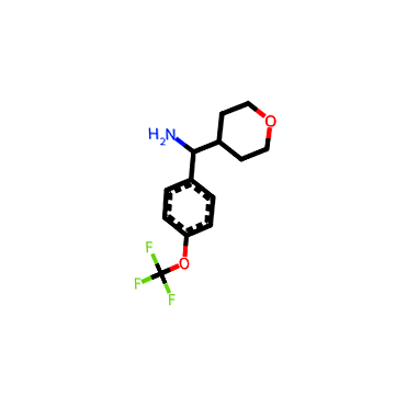 NC(c1ccc(OC(F)(F)F)cc1)C1CCOCC1